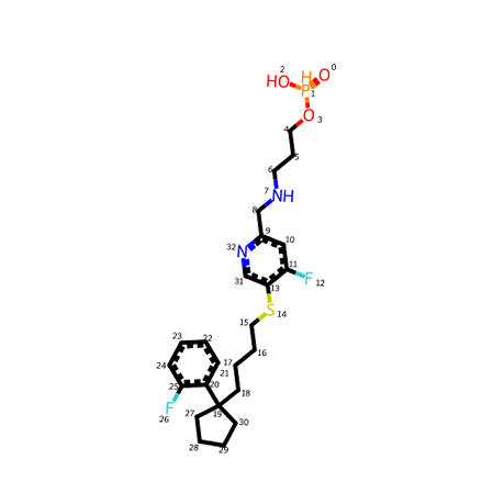 O=[PH](O)OCCCNCc1cc(F)c(SCCCCC2(c3ccccc3F)CCCC2)cn1